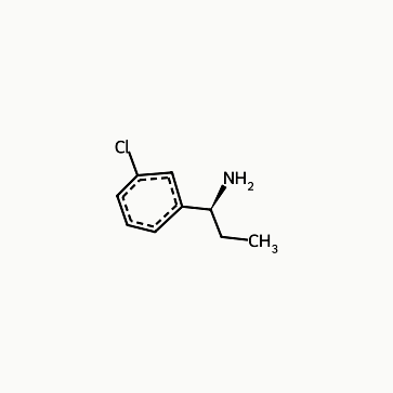 CC[C@H](N)c1cccc(Cl)c1